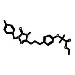 CCOC(=O)C(C)(C)Oc1ccc(CCCc2nn(Cc3ccc(C)cc3)c(=O)n2C)cc1